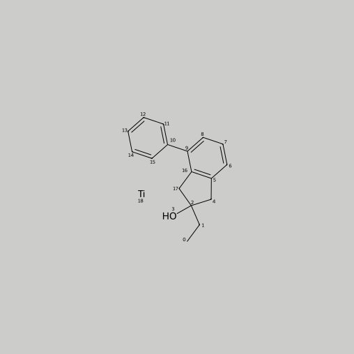 CCC1(O)Cc2cccc(-c3ccccc3)c2C1.[Ti]